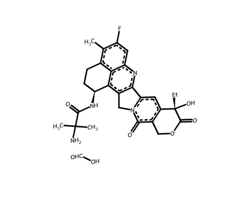 CC[C@@]1(O)C(=O)OCc2c1cc1n(c2=O)Cc2c-1nc1cc(F)c(C)c3c1c2[C@@H](NC(=O)C(C)(C)N)CC3.O=CO